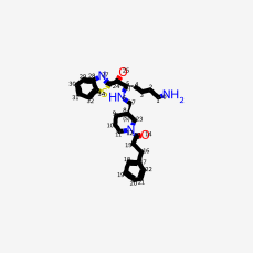 NCCCC[C@H](NC[C@@H]1CCCN(C(=O)CCc2ccccc2)C1)C(=O)c1nc2ccccc2s1